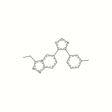 CCc1nnc2ccc(-c3ocnc3-c3cccc(C)c3)cn12